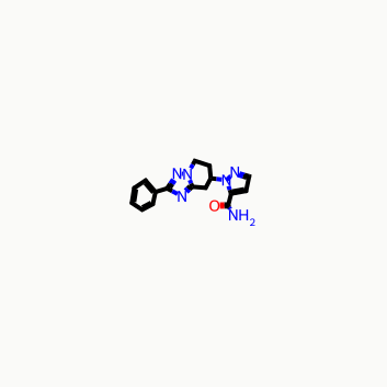 NC(=O)c1ccnn1C1CCn2nc(-c3ccccc3)nc2C1